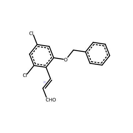 O=C/C=C/c1c(Cl)cc(Cl)cc1OCc1ccccc1